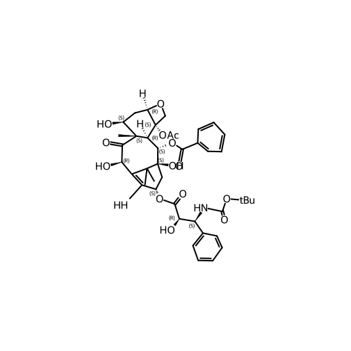 CC(=O)O[C@@]12CO[C@@H]1C[C@H](O)[C@@]1(C)C(=O)[C@H](O)C3=C(C)[C@@H](OC(=O)[C@H](O)[C@@H](NC(=O)OC(C)(C)C)c4ccccc4)C[C@@](O)([C@@H](OC(=O)c4ccccc4)[C@H]21)C3(C)C.[HH]